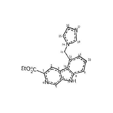 CCOC(=O)c1cc2c(cn1)[nH]c1cccc(Cn3ccnc3)c12